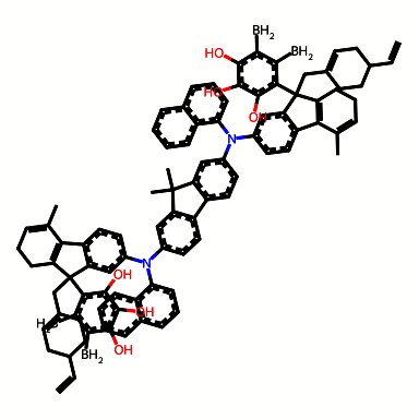 Bc1c(B)c(C2(CC3=CCC(C=C)CC3)C3=C(C(C)=CCC3)c3ccc(N(c4ccc5c(c4)C(C)(C)c4cc(N(c6ccc7c(c6)C(CC6=CCC(C=C)CC6)(c6c(B)c(B)c(O)c(O)c6O)C6=C7C(C)=CCC6)c6cccc7ccccc67)ccc4-5)c4cccc5ccccc45)cc32)c(O)c(O)c1O